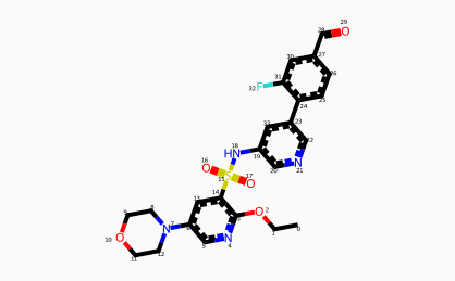 CCOc1ncc(N2CCOCC2)cc1S(=O)(=O)Nc1cncc(-c2ccc(C=O)cc2F)c1